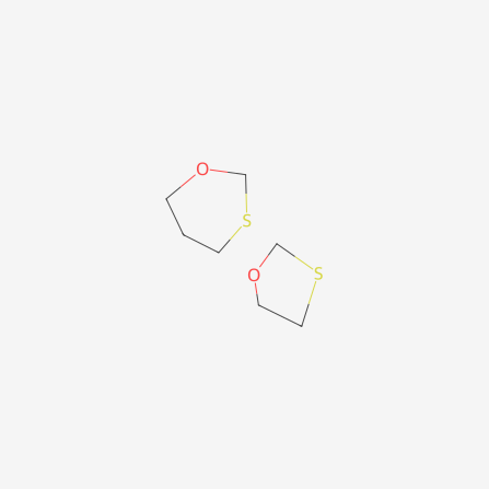 C1COCSC1.C1CSCO1